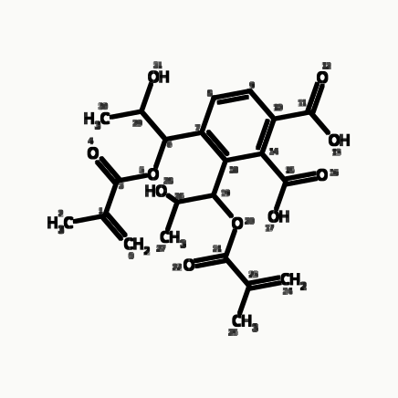 C=C(C)C(=O)OC(c1ccc(C(=O)O)c(C(=O)O)c1C(OC(=O)C(=C)C)C(C)O)C(C)O